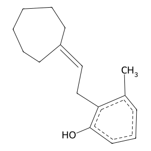 Cc1cccc(O)c1CC=C1CCCCCC1